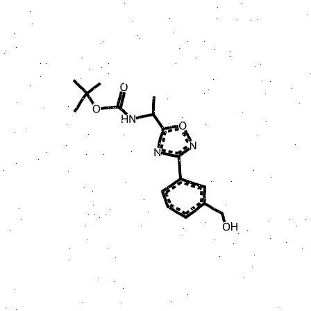 CC(NC(=O)OC(C)(C)C)c1nc(-c2cccc(CO)c2)no1